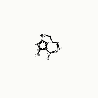 CCOC=O.O=[N+]([O-])c1ccsc1Cl